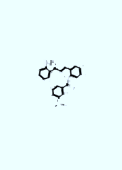 CN(C)c1cccc(C(=O)Nc2ccccc2C=Cc2n[nH]c3ccccc23)c1